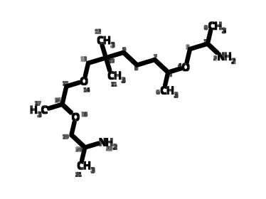 CC(N)COC(C)CCCC(C)(C)COCC(C)OCC(C)N